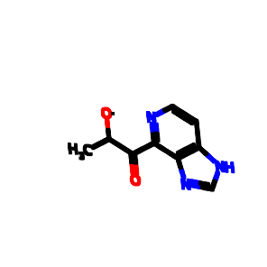 CC([O])C(=O)c1nccc2[nH]cnc12